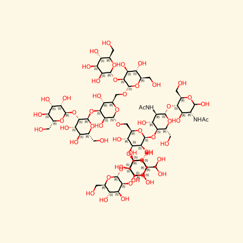 CC(=O)N[C@H]1[C@H](O[C@H]2[C@H](O)[C@@H](NC(C)=O)C(O)O[C@@H]2CO)O[C@H](CO)[C@@H](O[C@@H]2O[C@H](CO[C@H]3O[C@H](CO[C@H]4O[C@H](CO)[C@@H](O)[C@H](O)[C@@H]4O[C@H]4O[C@H](CO)[C@@H](O)[C@H](O)[C@@H]4O)[C@@H](O)[C@H](O[C@H]4O[C@H](CO)[C@@H](O)[C@H](O)[C@@H]4O[C@H]4O[C@H](CO)[C@@H](O)[C@H](O)[C@@H]4O)[C@@H]3O)[C@@H](O)[C@H](O[C@H]3O[C@H](CO)[C@@H](O)[C@H](O)[C@@H]3O[C@H]3O[C@H](CO)[C@@H](O)[C@H](O)[C@@H]3O[C@H]3O[C@H](CO)[C@@H](O)[C@H](O)[C@@H]3O)[C@@H]2O)[C@@H]1O